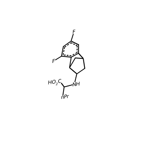 CCCC(NC1CC2CC1c1c(F)cc(F)cc12)C(=O)O